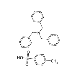 Cc1ccc(S(=O)(=O)O)cc1.c1ccc(CN(Cc2ccccc2)Cc2ccccc2)cc1